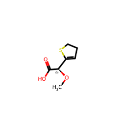 CO[C@@H](C(=O)O)C1=CCCS1